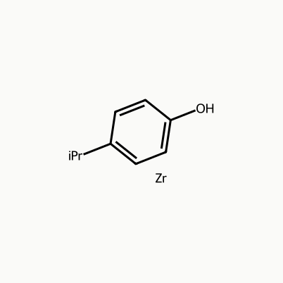 CC(C)c1ccc(O)cc1.[Zr]